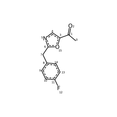 CC(=O)c1cnc(Cc2ccc(F)cc2)o1